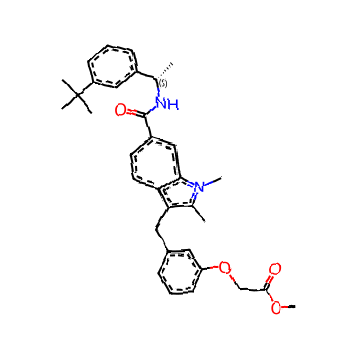 COC(=O)COc1cccc(Cc2c(C)n(C)c3cc(C(=O)N[C@@H](C)c4cccc(C(C)(C)C)c4)ccc23)c1